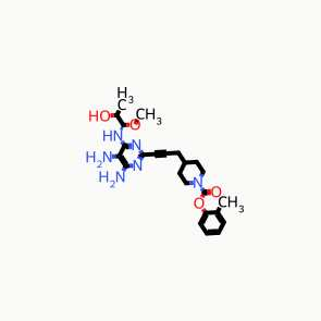 CO[C@@H](Nc1nc(C#CCC2CCN(C(=O)Oc3ccccc3C)CC2)nc(N)c1N)C(C)O